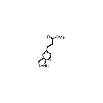 COC(=O)/C=C/c1cnc2[nH]ccc2c1